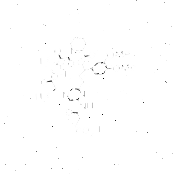 C=CC(=O)OCC(C)(C)C(=O)C(=O)N1CCCC[C@H]1C(=O)OC(CCc1cncc(NC(=O)CCC(=O)O)n1)c1ccc(OC)c(OC)c1